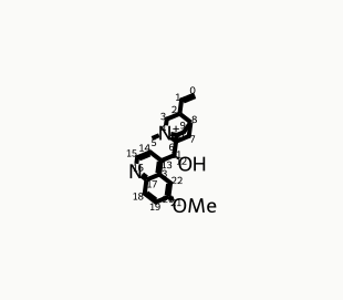 C=CC1C[N+]2(C)CCC1CC2[C@H](O)c1ccnc2ccc(OC)cc12